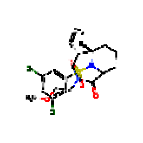 C=C[C@H]1CN(CCOC)C(=O)C2CCC[C@@H]1N2S(=O)(=O)c1cc(Cl)cc(Cl)c1